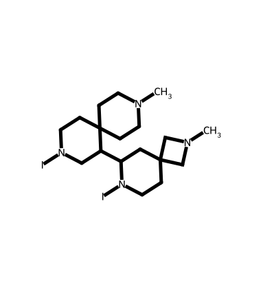 CN1CCC2(CC1)CCN(I)CC2C1CC2(CCN1I)CN(C)C2